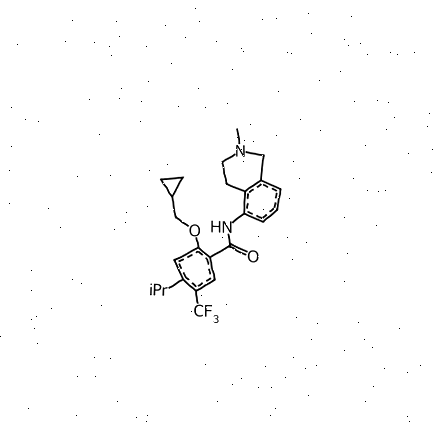 CC(C)c1cc(OCC2CC2)c(C(=O)Nc2cccc3c2CCN(C)C3)cc1C(F)(F)F